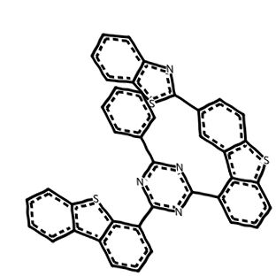 c1ccc(-c2nc(-c3cccc4c3sc3ccccc34)nc(-c3cccc4sc5ccc(-c6nc7ccccc7s6)cc5c34)n2)cc1